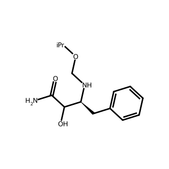 CC(C)OCN[C@@H](Cc1ccccc1)C(O)C(N)=O